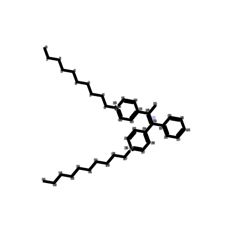 CCCCCCCCCC[n+]1ccc(/C(C)=C(/c2ccccc2)c2cc[n+](CCCCCCCCCC)cc2)cc1